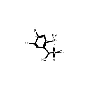 O=S(=O)([O-])C(O)c1cc(F)c(F)cc1F.[Na+]